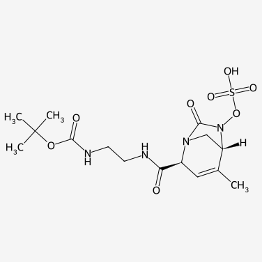 CC1=C[C@@H](C(=O)NCCNC(=O)OC(C)(C)C)N2C[C@@H]1N(OS(=O)(=O)O)C2=O